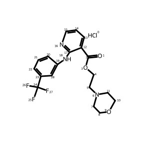 Cl.O=C(OCCN1CCOCC1)c1cccnc1Nc1cccc(C(F)(F)F)c1